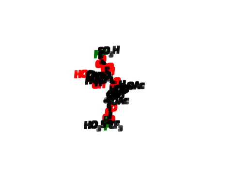 CC(=O)OC1CC[C@@]2(C)[C@@H](C1)CC(OC(=O)CC[C@H](CCC(=O)OCC(=O)OCC(F)(F)S(=O)(=O)O)[C@H]1CC[C@H]3[C@@H]4C(O)C[C@@H]5CC(O)CC[C@]5(C)[C@H]4CC(O)[C@]13C)[C@@H]1[C@@H]2CC(OC(C)=O)[C@]2(C)[C@@H]([C@H](C)CCC(=O)OCC(=O)OC(C(F)(F)F)C(F)(F)S(=O)(=O)O)CC[C@@H]12